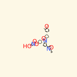 COc1ccc([C@H]2CC[C@H](CN(c3cccc(-c4coc(C5CC5)n4)c3)C(=O)[C@H]3CC[C@H](OC(=O)N4CC(O)C4)CC3)CC2)cc1C